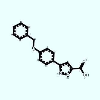 O=C(O)c1cc(-c2ccc(OCc3ccccc3)cc2)no1